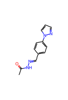 CC(=O)NN=Cc1ccc(-n2cccn2)cc1